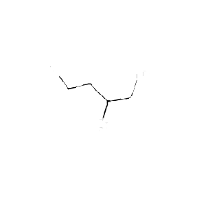 CCCCC(CC)CC[S]